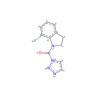 O=C(N1CCc2cccc(F)c21)n1ccnn1